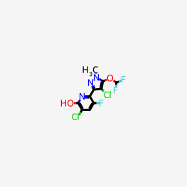 Cn1nc(-c2nc(O)c(Cl)cc2F)c(Cl)c1OC(F)F